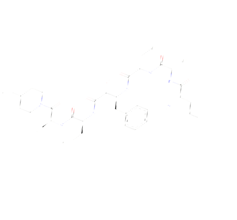 CC(C)C[C@H](NC(=O)[C@@H](NC(=O)[C@@H](N)CCC(=O)O)C(C)C)C(=O)N[C@@H](Cc1ccccc1)[C@@H](O)C(=O)N[C@@H](CC(=O)O)C(=O)N[C@@H](C)C(=O)N1CCC(C(=O)O)CC1